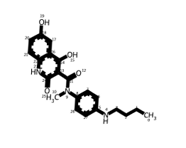 CCCCNc1ccc(N(C)C(=O)c2c(O)c3cc(O)ccc3[nH]c2=O)cc1